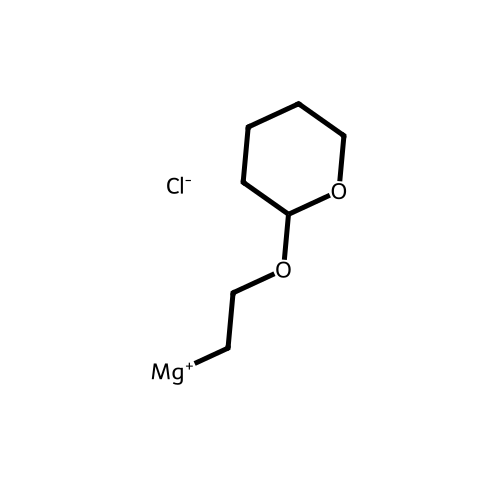 [Cl-].[Mg+][CH2]COC1CCCCO1